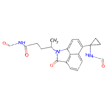 CC(CCC(=O)NC=O)N1C(=O)c2cccc3c(C4(NC=O)CC4)ccc1c23